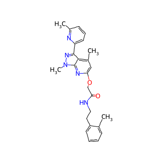 Cc1cccc(-c2nn(C)c3nc(OCC(=O)NCCc4ccccc4C)cc(C)c23)n1